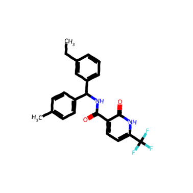 CCc1cccc(C(NC(=O)c2ccc(C(F)(F)F)[nH]c2=O)c2ccc(C)cc2)c1